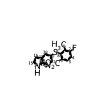 Cc1c(F)ccc(C(=O)O)c1Sc1cnc2[nH]ccc2c1